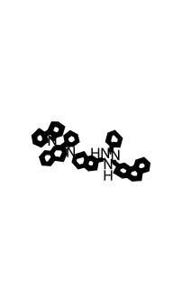 C1=CCC2C(=C1)C=c1c(c3c(n1C1=Cc4cc(C5NC(c6ccc7ccc8ccccc8c7c6)=NC(C6=CCCC=C6)N5)ccc4CC1)CCC=C3)=C2n1c2ccccc2c2ccccc21